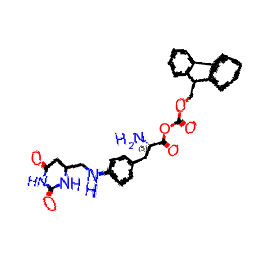 N[C@@H](Cc1ccc(NCC2CC(=O)NC(=O)N2)cc1)C(=O)OC(=O)OCC1c2ccccc2-c2ccccc21